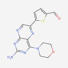 Nc1nc(N2CCOCC2)c2nc(-c3ccc(C=O)s3)cnc2n1